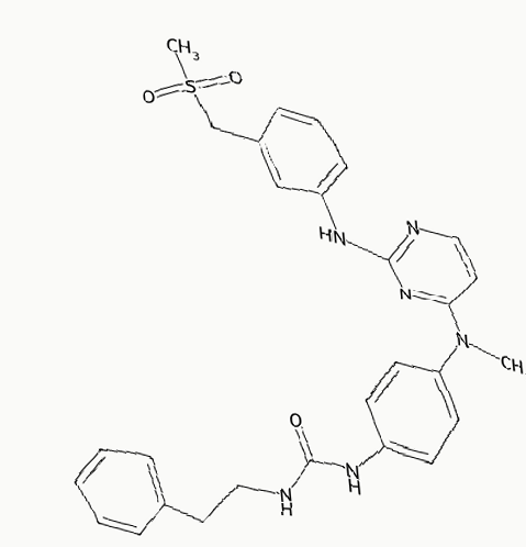 CN(c1ccc(NC(=O)NCCc2ccccc2)cc1)c1ccnc(Nc2cccc(CS(C)(=O)=O)c2)n1